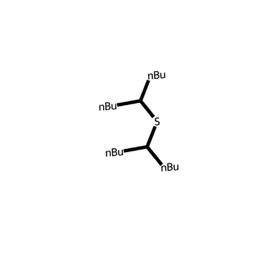 CCCCC(CCCC)SC(CCCC)CCCC